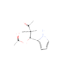 CC(=O)OC(c1ccc[nH]1)C(C)(C)C(C)=O